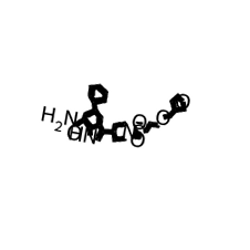 NC(=O)c1cc(-c2ccccc2)cc2c(C3CCN(S(=O)(=O)CCCOCC4CCOC4)CC3)c[nH]c12